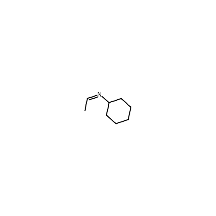 C/C=N\C1CCCCC1